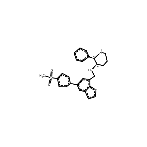 CS(=O)(=O)c1ccc(-c2cc(CN[C@@H]3CCCN[C@@H]3c3ccccc3)c3occc3c2)cc1